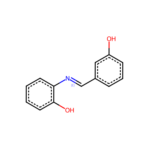 Oc1cccc(/C=N/c2ccccc2O)c1